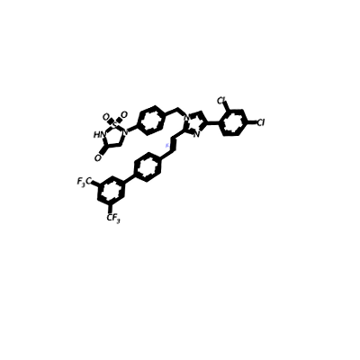 O=C1CN(c2ccc(Cn3cc(-c4ccc(Cl)cc4Cl)nc3/C=C/c3ccc(-c4cc(C(F)(F)F)cc(C(F)(F)F)c4)cc3)cc2)S(=O)(=O)N1